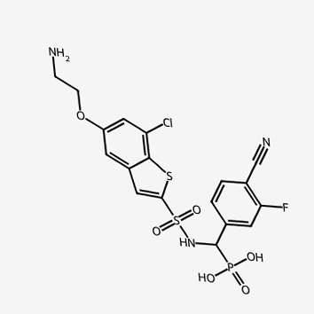 N#Cc1ccc(C(NS(=O)(=O)c2cc3cc(OCCN)cc(Cl)c3s2)P(=O)(O)O)cc1F